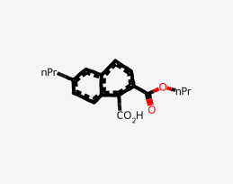 CCCOC(=O)c1ccc2cc(CCC)ccc2c1C(=O)O